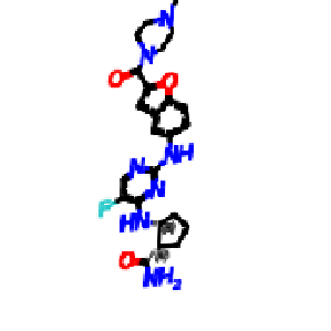 CN1CCN(C(=O)c2cc3cc(Nc4ncc(F)c(N[C@@H]5CCC[C@@H]5C(N)=O)n4)ccc3o2)CC1